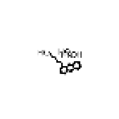 OBO.OCCCCCc1cccc2cc3ccccc3cc12